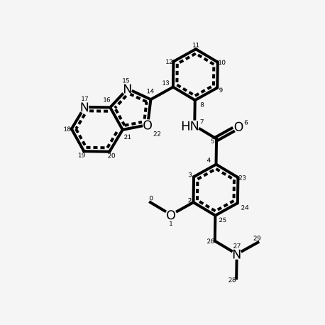 COc1cc(C(=O)Nc2ccccc2-c2nc3ncccc3o2)ccc1CN(C)C